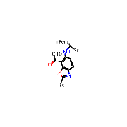 CCCCCC(CC)Nc1ccc2nc(CC)oc2c1C(=O)C=O